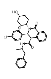 CN(Cc1ccccc1)NC(=O)[C@@H]1c2ccccc2C(=O)N([C@H]2CC[C@H](O)CC2)[C@H]1c1ccc(Cl)cc1Cl